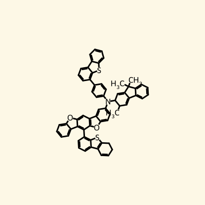 CC1C=C2C(=CC1N(c1ccc(-c3cccc4c3sc3ccccc34)cc1)c1ccc3oc4c(-c5cccc6c7c(sc56)CCC=C7)c5c(cc4c3c1)oc1ccccc15)C(C)(C)c1ccccc12